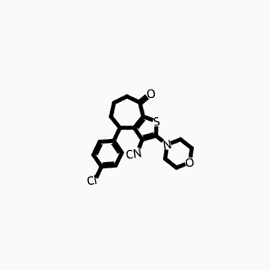 [C-]#[N+]c1c(N2CCOCC2)sc2c1C(c1ccc(Cl)cc1)CCCC2=O